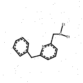 CCN(CC)Cc1cccc(Cc2ccccc2)n1